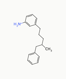 CC(CCCc1cccc(N)c1)Cc1ccccc1